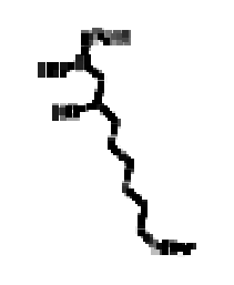 CCCCCCCCCCCCCCCCC(O)CN(O)CCCCC